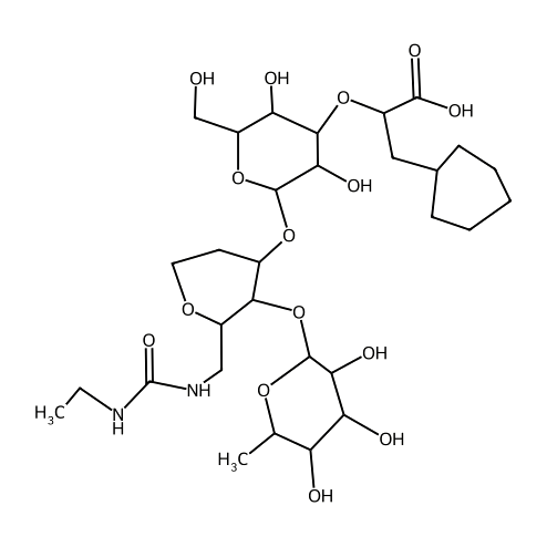 CCNC(=O)NCC1OCCC(OC2OC(CO)C(O)C(OC(CC3CCCCC3)C(=O)O)C2O)C1OC1OC(C)C(O)C(O)C1O